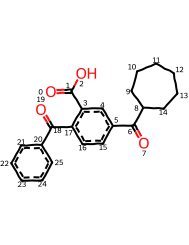 O=C(O)c1cc(C(=O)C2CCCCCC2)ccc1C(=O)c1ccccc1